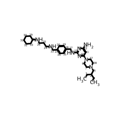 CCC(CC)CN1CCN(c2cc(N)nc(NCc3ccc(CNCCCNC4CCCCC4)cc3)n2)CC1